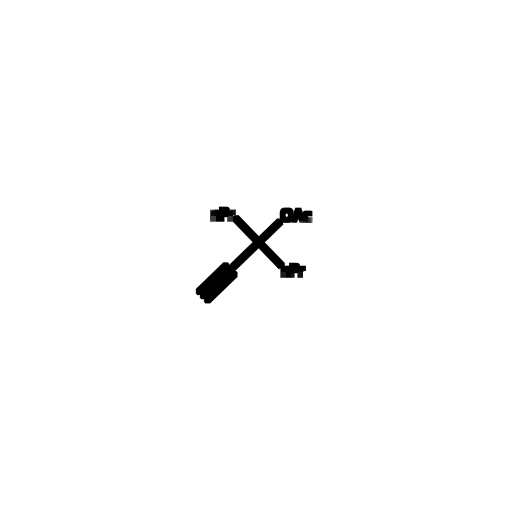 C#CC(CCC)(CCC)OC(C)=O